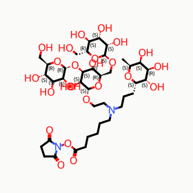 C[C@@H]1O[C@@H](CCCN(CCCCCC(=O)ON2C(=O)CCC2=O)CCO[C@H]2O[C@H](CO[C@H]3O[C@H](CO)[C@@H](O)[C@H](O)[C@@H]3O)[C@@H](O)[C@H](O[C@H]3O[C@H](CO)[C@@H](O)[C@H](O)[C@@H]3O)[C@@H]2O)[C@@H](O)[C@H](O)[C@@H]1O